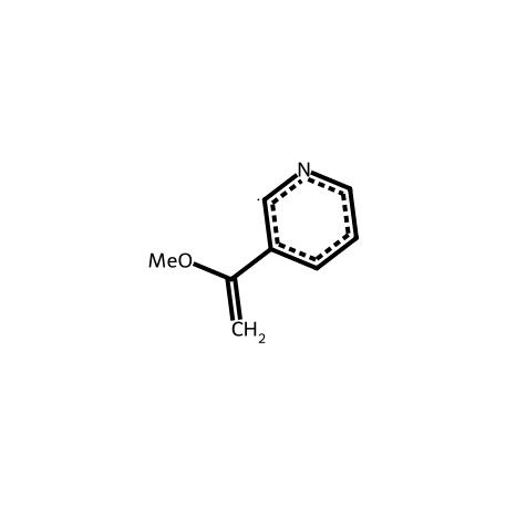 C=C(OC)c1[c]nccc1